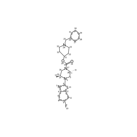 C[C@@H]1CN(c2nc3ccc(F)cc3s2)[C@@H](C)CN1C(=O)OC1CCN(Cc2ccccc2)CC1